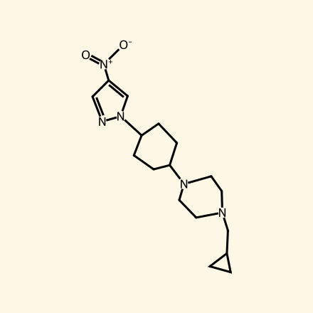 O=[N+]([O-])c1cnn(C2CCC(N3CCN(CC4CC4)CC3)CC2)c1